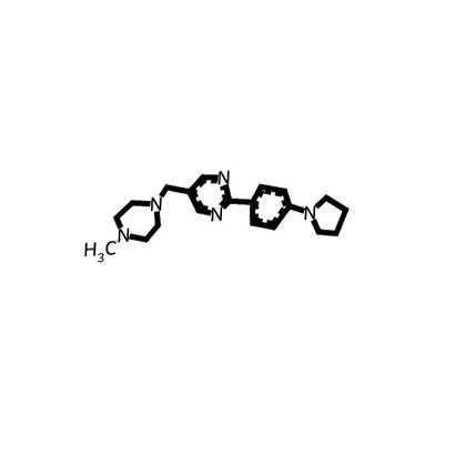 CN1CCN(Cc2cnc(-c3ccc(N4CCCC4)cc3)nc2)CC1